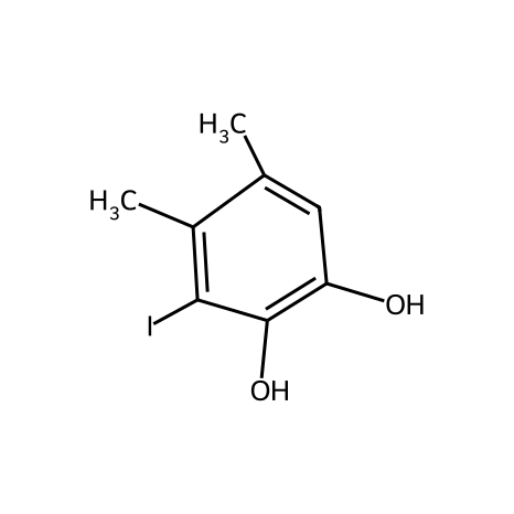 Cc1cc(O)c(O)c(I)c1C